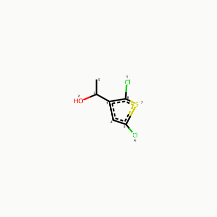 CC(O)c1cc(Cl)sc1Cl